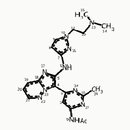 CC(=O)Nc1cc(-c2c(Nc3ccn(CCN(C)C)n3)nc3cccnn23)nc(C)n1